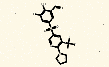 O=Cc1cc(S(=O)(=O)c2cnc(N3CCCC3)c(C(F)(F)F)c2)cc(F)c1O